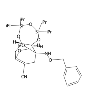 CC(C)[Si]1(C(C)C)O[C@H]2CC3=C(C#N)CC(NOCc4ccccc4)([C@H](O)O3)[C@@H]2O[Si](C(C)C)(C(C)C)O1